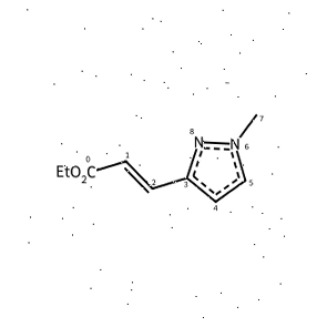 CCOC(=O)/C=C/c1ccn(C)n1